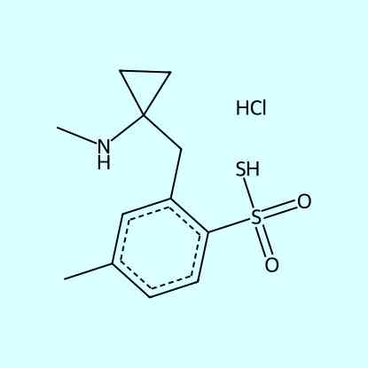 CNC1(Cc2cc(C)ccc2S(=O)(=O)S)CC1.Cl